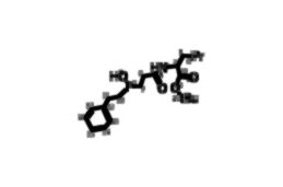 CC(C)CC(NC(=O)CCP(O)CCc1ccccc1)C(=O)OC(C)(C)C